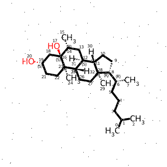 CC(C)CCC[C@@H](C)[C@H]1CC[C@H]2[C@@H]3C[C@@H](C)[C@@]4(O)C[C@@H](O)CC[C@]4(C)[C@H]3CC[C@]12C